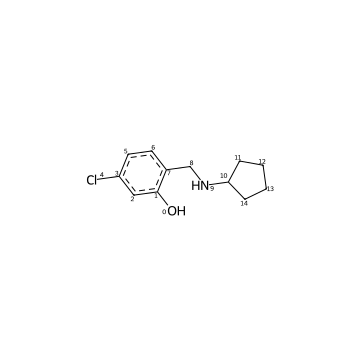 Oc1cc(Cl)ccc1CNC1CCCC1